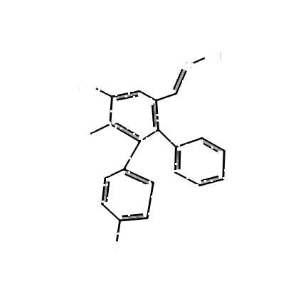 CCCc1cc(/C=N/O)c(-c2ccccc2)c(-c2ccc(O)cc2)c1C